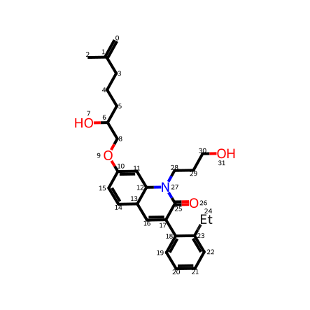 C=C(C)CCCC(O)COC1=CC2C(C=C1)C=C(c1ccccc1CC)C(=O)N2CCCO